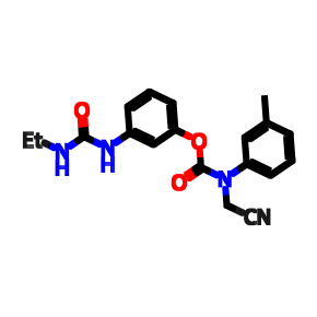 CCNC(=O)Nc1cccc(OC(=O)N(CC#N)c2cccc(C)c2)c1